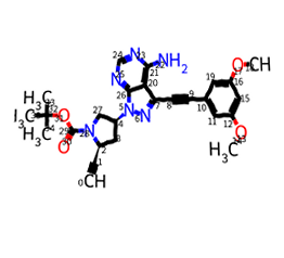 C#C[C@@H]1C[C@H](n2nc(C#Cc3cc(OC)cc(OC)c3)c3c(N)ncnc32)CN1C(=O)OC(C)(C)C